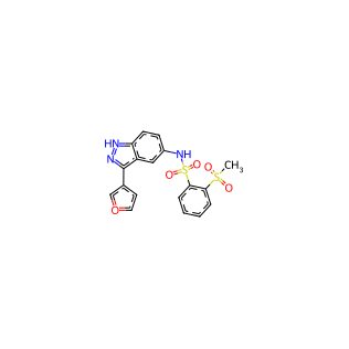 CS(=O)(=O)c1ccccc1S(=O)(=O)Nc1ccc2[nH]nc(-c3ccoc3)c2c1